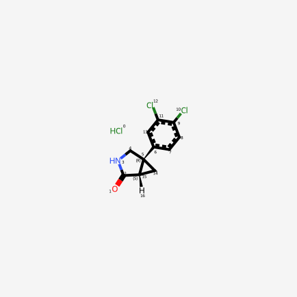 Cl.O=C1NC[C@]2(c3ccc(Cl)c(Cl)c3)C[C@H]12